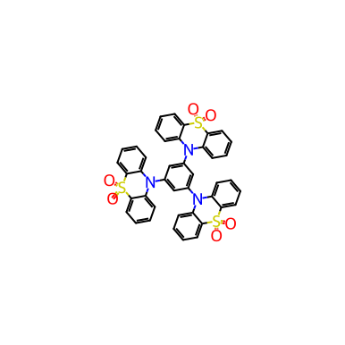 O=S1(=O)c2ccccc2N(c2cc(N3c4ccccc4S(=O)(=O)c4ccccc43)cc(N3c4ccccc4S(=O)(=O)c4ccccc43)c2)c2ccccc21